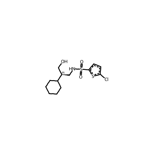 O=S(=O)(NC[C@H](CO)C1CCCCC1)c1ccc(Cl)s1